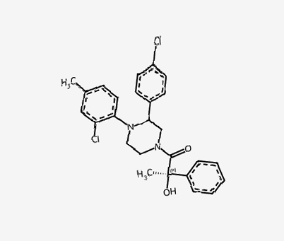 Cc1ccc(N2CCN(C(=O)[C@](C)(O)c3ccccc3)CC2c2ccc(Cl)cc2)c(Cl)c1